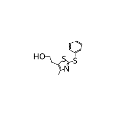 Cc1nc(Sc2ccccc2)sc1CCO